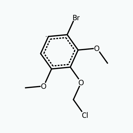 COc1c[c]c(Br)c(OC)c1OCCl